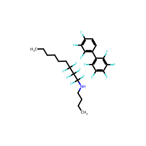 CCCCCCC(F)(F)C(F)(F)C(F)(F)NCCCC.Fc1ccc(-c2c(F)c(F)c(F)c(F)c2F)c(F)c1F